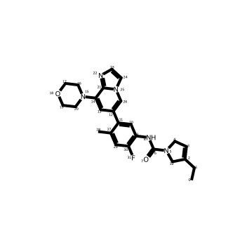 CCC1=CCN(C(=O)Nc2cc(-c3cc(N4CCOCC4)c4nccn4c3)c(C)cc2F)C1